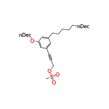 CCCCCCCCCCCCCCCc1cc(C#CCOS(C)(=O)=O)cc(OCCCCCCCCCC)c1